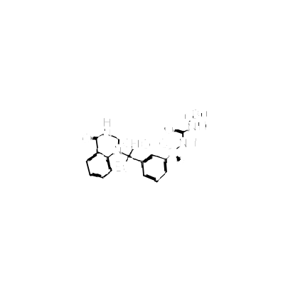 CCCCNC(=O)NS(=O)(=O)c1cccc(C(C=O)(CC)N2CNC(=O)c3ccccc32)c1